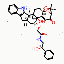 CC1(C)O[C@@]23CCC4(C)[C@@]5(C)c6[nH]c7ccccc7c6C[C@@H]5C[C@H](OCC(=O)NC[C@H](O)c5ccccc5)[C@@]4(O)C2=CC(=O)C1O3